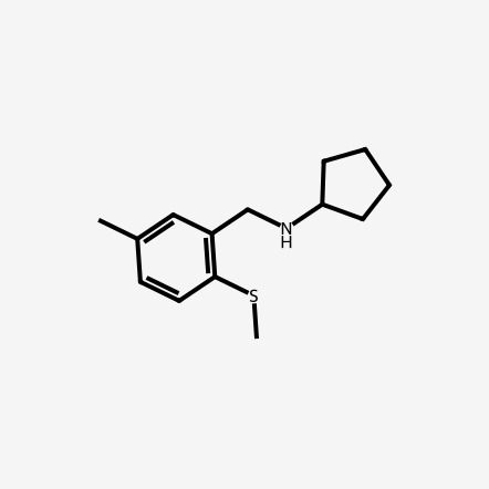 CSc1ccc(C)cc1CNC1CCCC1